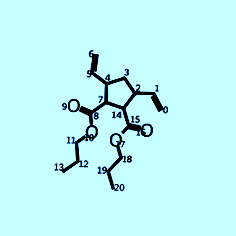 C=CC1CC(C=C)C(C(=O)OCCC)C1C(=O)OCCC